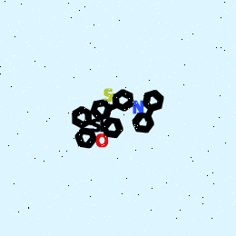 c1ccc([Si]2(c3ccc4sc5ccc(-n6c7ccccc7c7ccccc76)cc5c4c3)c3ccccc3Oc3ccccc32)cc1